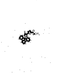 COC(=O)c1ccc(-c2nn(C(c3ccccc3)(c3ccccc3)C3C=CC=CC3)cc2I)s1